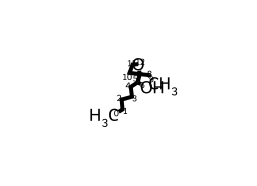 CCCCCC(O)C1(CC)CCO1